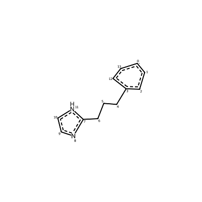 [c]1ccc(CCCc2ncc[nH]2)cc1